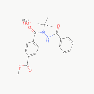 COC(=O)c1ccc(C(=O)N(NC(=O)c2ccccc2)C(C)(C)C)cc1.[Na+].[OH-]